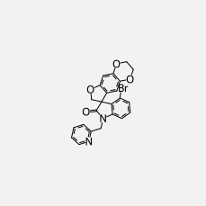 O=C1N(Cc2ccccn2)c2cccc(Br)c2C12COc1cc3c(cc12)OCCO3